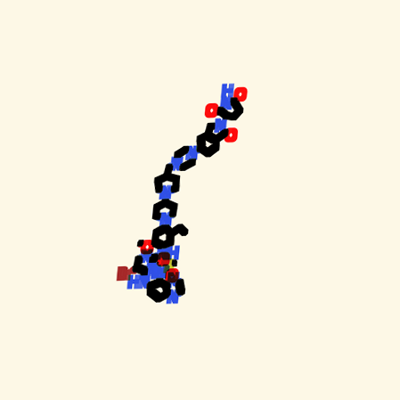 CCc1cc(Nc2ncc(Br)c(Nc3ccc4nccnc4c3NS(C)(=O)=O)n2)c(OC)cc1N1CCC(N2CCC(CN3CCN(c4ccc5c(c4)CN([C@H]4CCC(=O)NC4=O)C5=O)CC3)CC2)CC1